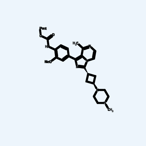 CCCC(C)OC(=O)Nc1ccc(-c2nc([C@H]3C[C@H](N4CCN(C)CC4)C3)n3ccnc(C)c23)cc1OC